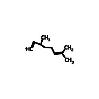 [CH]=CC(C)CCC=C(C)C